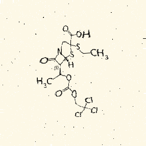 CCSC1(C(=O)O)CN2C(=O)[C@H](C(C)OC(=O)OCC(Cl)(Cl)Cl)[C@H]2S1